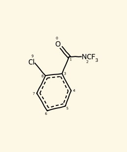 O=C(NC(F)(F)F)c1ccccc1Cl